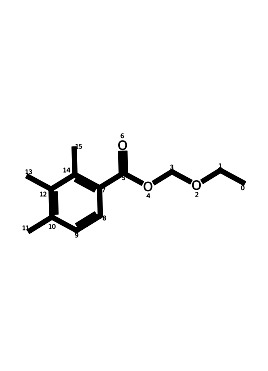 CCOCOC(=O)c1ccc(C)c(C)c1C